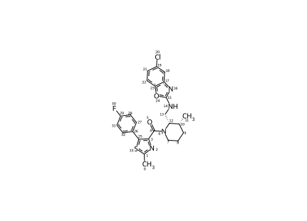 Cc1nc(C(=O)N2CCC[C@@H](C)[C@H]2CNc2nc3cc(Cl)ccc3o2)c(-c2ccc(F)cc2)s1